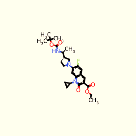 CCOC(=O)c1cc2cc(F)c(N3CC[C@H]([C@H](C)NC(=O)OC(C)(C)C)C3)cc2n(C2CC2)c1=O